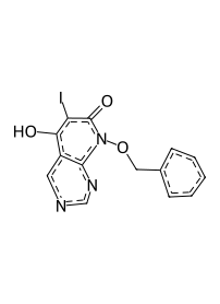 O=c1c(I)c(O)c2cncnc2n1OCc1ccccc1